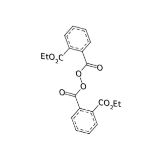 CCOC(=O)c1ccccc1C(=O)OOC(=O)c1ccccc1C(=O)OCC